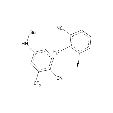 CCC(C)Nc1ccc(C#N)c(C(F)(F)F)c1.N#Cc1cccc(F)c1C(F)(F)F